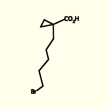 O=C(O)C1(CCCCCBr)CC1